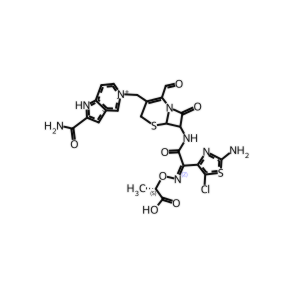 C[C@H](O/N=C(\C(=O)NC1C(=O)N2C(C=O)=C(C[n+]3ccc4[nH]c(C(N)=O)cc4c3)CSC12)c1nc(N)sc1Cl)C(=O)O